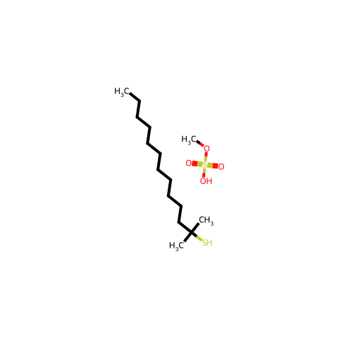 CCCCCCCCCCCC(C)(C)S.COS(=O)(=O)O